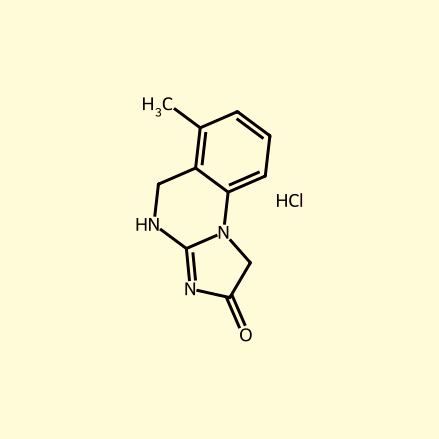 Cc1cccc2c1CNC1=NC(=O)CN12.Cl